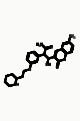 Cc1ccc2oc(=O)c(C(O)C(C(N)=O)c3cccc(OCCC4CCCCN4)c3)cc2c1